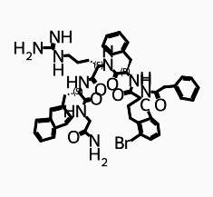 N=C(N)NCCC[C@H](NC(=O)[C@@H](Cc1ccccc1)NC(=O)C1(NC(=O)Cc2ccccc2)CCc2c(Br)cccc2C1)C(=O)N[C@@H](Cc1ccc2ccccc2c1)C(=O)NCC(N)=O